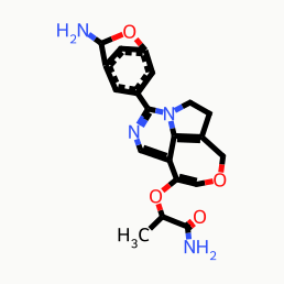 CC(OC1=COCC2=C3C1=CN=C(c1cc4cc(c1)C(N)O4)N3CC2)C(N)=O